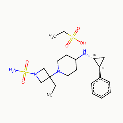 CCS(=O)(=O)O.N#CCC1(N2CCC(N[C@@H]3C[C@H]3c3ccccc3)CC2)CN(S(N)(=O)=O)C1